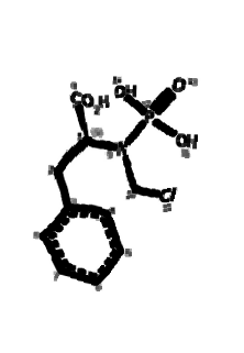 O=C(O)[C@H](Cc1ccccc1)N(CCl)P(=O)(O)O